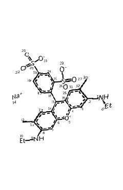 CCNc1cc2[o+]c3cc(NCC)c(C)cc3c(-c3ccc(S(=O)(=O)[O-])cc3S(=O)(=O)[O-])c2cc1C.[Na+]